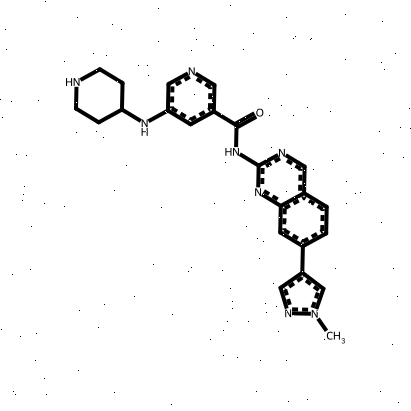 Cn1cc(-c2ccc3cnc(NC(=O)c4cncc(NC5CCNCC5)c4)nc3c2)cn1